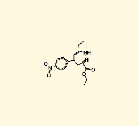 CCOC(=O)C1=NNC(CC)=CC(c2ccc([N+](=O)[O-])cc2)C1